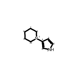 [c]1[nH]ccc1N1CCCCC1